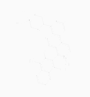 Cc1c2c(c(C(C)C)c3ccccc13)Oc1cc3c(C4CCC(C)(C)CC4)cccc3c3cc[n+](C)c-2c13